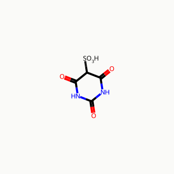 O=C1NC(=O)C(S(=O)(=O)O)C(=O)N1